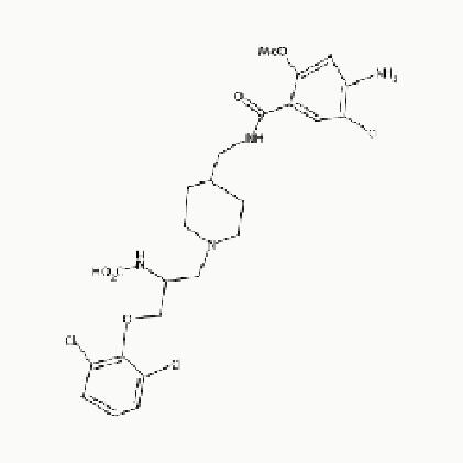 COc1cc(N)c(Cl)cc1C(=O)NCC1CCN(CC(COc2c(Cl)cccc2Cl)NC(=O)O)CC1